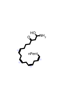 CCCCC/C=C\C/C=C\C/C=C\C/C=C\CCCC(=O)CC(N)O